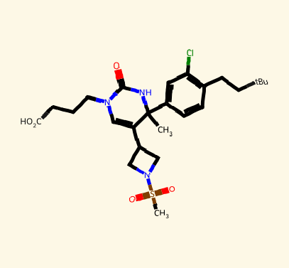 CC(C)(C)CCc1ccc(C2(C)NC(=O)N(CCCC(=O)O)C=C2C2CN(S(C)(=O)=O)C2)cc1Cl